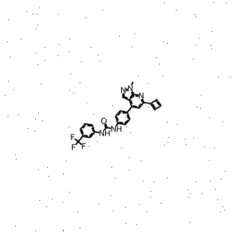 Cn1ncc2c(-c3ccc(NC(=O)Nc4cccc(C(F)(F)F)c4)cc3)cc(C3=CC=C3)nc21